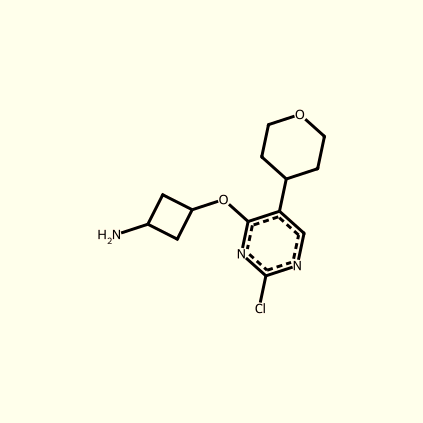 NC1CC(Oc2nc(Cl)ncc2C2CCOCC2)C1